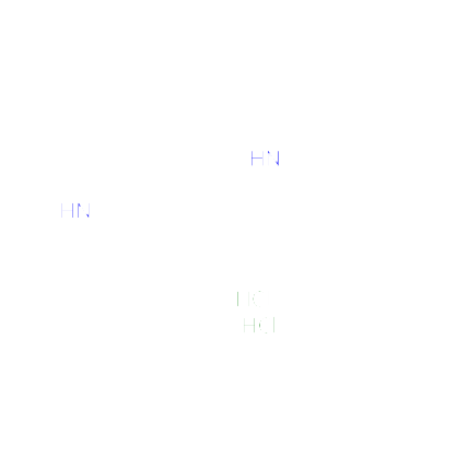 C1CCC(CC2CCNCC2)NC1.Cl.Cl